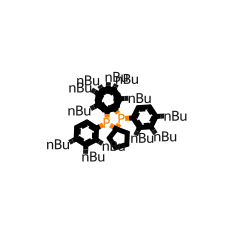 CCCCc1ccc(P(c2ccc(CCCC)c(CCCC)c2CCCC)C2(P(c3ccc(CCCC)c(CCCC)c3CCCC)c3ccc(CCCC)c(CCCC)c3CCCC)CCCC2)c(CCCC)c1CCCC